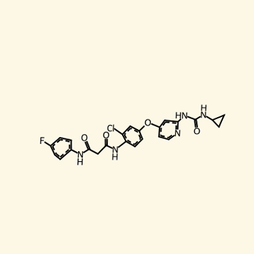 O=C(CC(=O)Nc1ccc(Oc2ccnc(NC(=O)NC3CC3)c2)cc1Cl)Nc1ccc(F)cc1